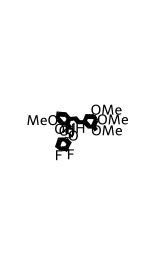 COc1ccc(C=Cc2cc(OC)c(OC)c(OC)c2)c(NS(=O)(=O)c2ccc(F)c(F)c2)c1O